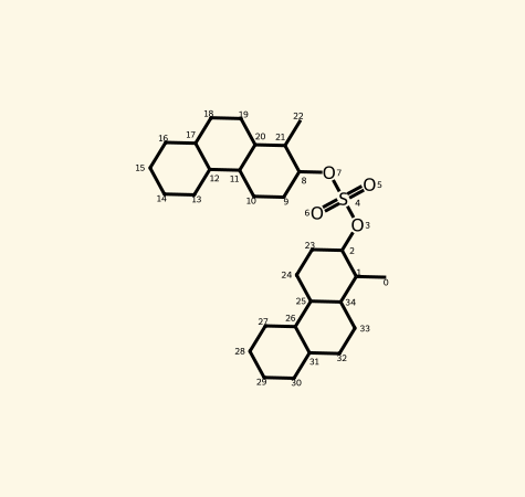 CC1C(OS(=O)(=O)OC2CCC3C4CCCCC4CCC3C2C)CCC2C3CCCCC3CCC12